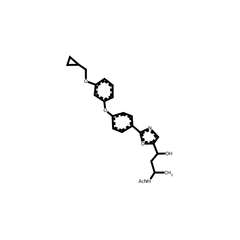 CC(=O)NC(C)CC(O)c1cnc(-c2ccc(Oc3cccc(OCC4CC4)c3)cc2)o1